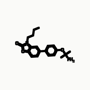 CCCCn1c(=O)oc2ccc(-c3ccc(OC(C)(C)P)cc3)cc21